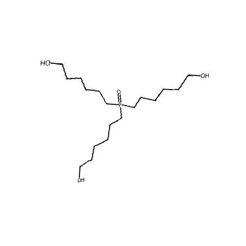 O=P(CCCCCCO)(CCCCCCO)CCCCCCO